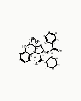 CC(C)(C)[C@@H]1Nc2ccccc2[C@H]2[C@@H]1CCN2C(=O)[C@H]1CCCC[C@H]1NC(=O)c1ccccc1